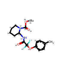 Cc1ccc(OC(F)(F)C(=O)NC2CCCCN2C(=O)OC(C)(C)C)cc1